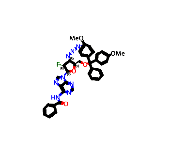 COc1ccc(C(OC[C@H]2O[C@@H](n3cnc4c(NC(=O)c5ccccc5)ncnc43)[C@H](F)[C@@H]2N=[N+]=[N-])(c2ccccc2)c2ccc(OC)cc2)cc1